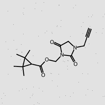 C#CCN1CC(=O)N(COC(=O)C2C(C)(C)C2(C)C)C1=O